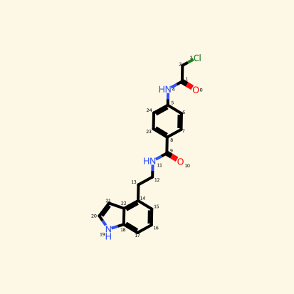 O=C(CCl)Nc1ccc(C(=O)NCCc2cccc3[nH]ccc23)cc1